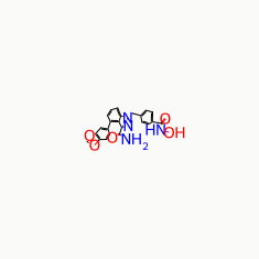 NC(=O)c1nn(Cc2ccc(C(=O)NO)cc2)c2cccc(-c3ccc4c(c3)OCO4)c12